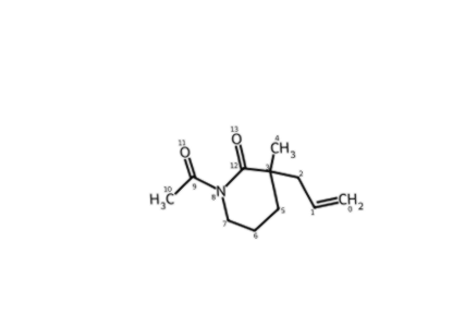 C=CCC1(C)CCCN(C(C)=O)C1=O